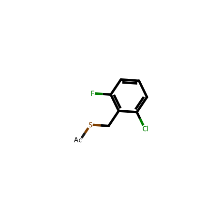 CC(=O)SCc1c(F)cccc1Cl